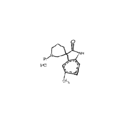 Cc1ccc2c(c1)C1(CCCN(C(C)C)C1)C(=O)N2.Cl